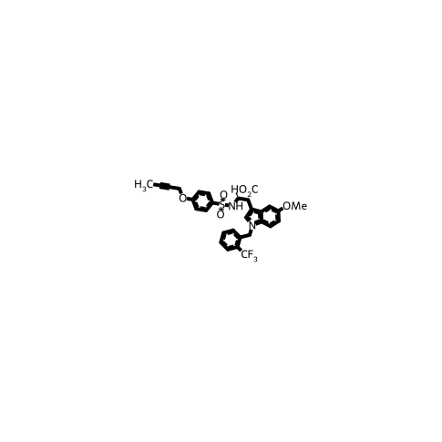 CC#CCOc1ccc(S(=O)(=O)N[C@@H](Cc2cn(Cc3ccccc3C(F)(F)F)c3ccc(OC)cc23)C(=O)O)cc1